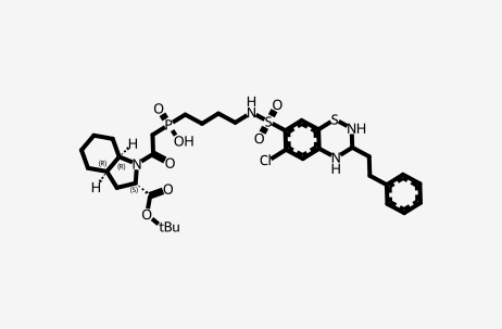 CC(C)(C)OC(=O)[C@@H]1C[C@H]2CCCC[C@H]2N1C(=O)CP(=O)(O)CCCCNS(=O)(=O)c1cc2c(cc1Cl)NC(CCc1ccccc1)NS2